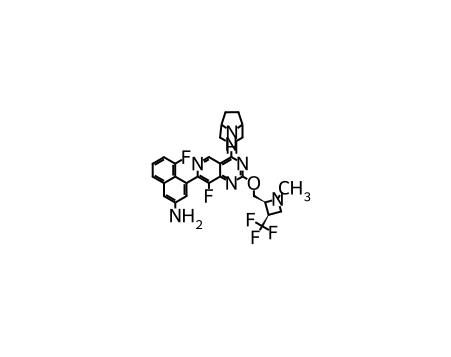 CN1C[C@@H](C(F)(F)F)[C@H]1COc1nc(N2CC3CCC(C2)N3)c2cnc(-c3cc(N)cc4cccc(F)c34)c(F)c2n1